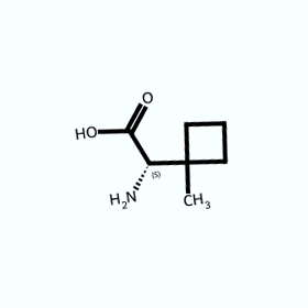 CC1([C@H](N)C(=O)O)CCC1